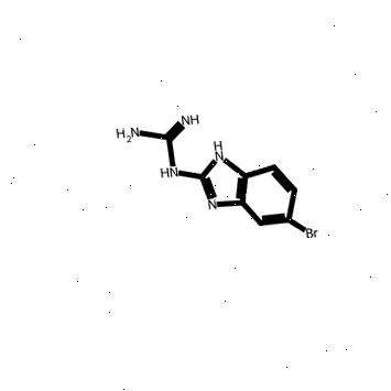 N=C(N)Nc1nc2cc(Br)ccc2[nH]1